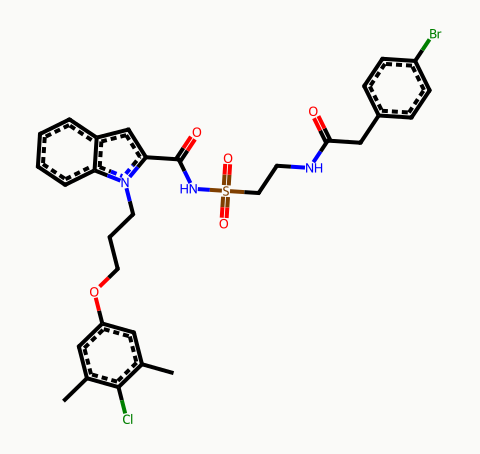 Cc1cc(OCCCn2c(C(=O)NS(=O)(=O)CCNC(=O)Cc3ccc(Br)cc3)cc3ccccc32)cc(C)c1Cl